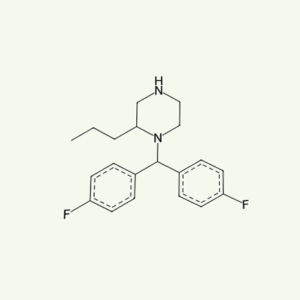 CCCC1CNCCN1C(c1ccc(F)cc1)c1ccc(F)cc1